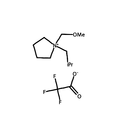 COC[N+]1(CC(C)C)CCCC1.O=C([O-])C(F)(F)F